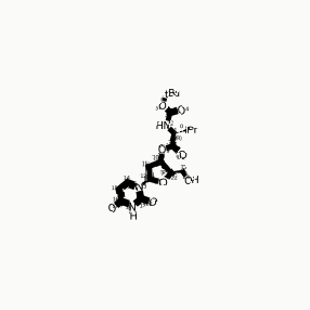 CC(C)[C@@H](NC(=O)OC(C)(C)C)C(=O)OC1C[C@H](n2ccc(=O)[nH]c2=O)O[C@@H]1CO